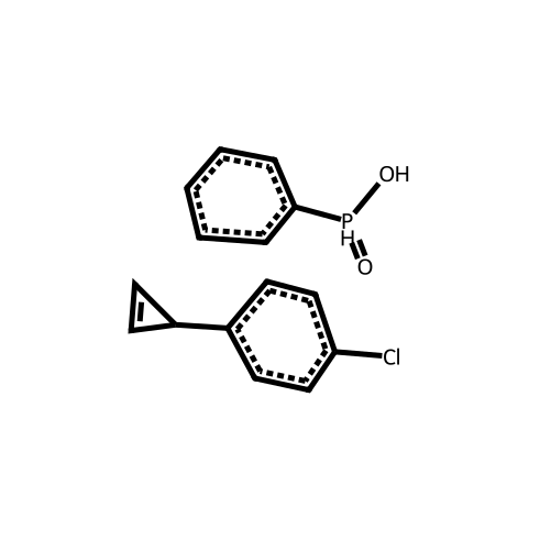 Clc1ccc(C2C=C2)cc1.O=[PH](O)c1ccccc1